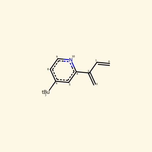 C=CC(=C)c1cc(C(C)(C)C)ccn1